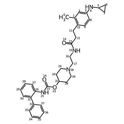 Cc1cc(NC2CC2)ccc1CCC(=O)NCCN1CCC(OC(=O)Nc2ccccc2-c2ccccc2)CC1